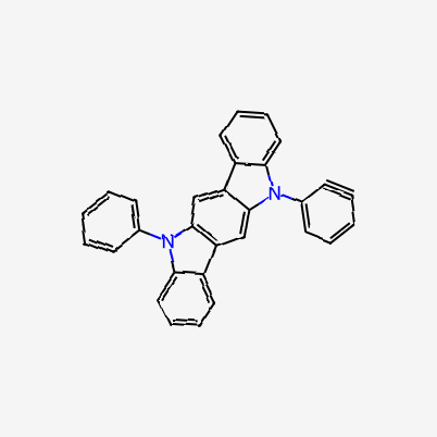 c1cccc(-n2c3ccccc3c3cc4c(cc32)c2ccccc2n4-c2ccccc2)c#1